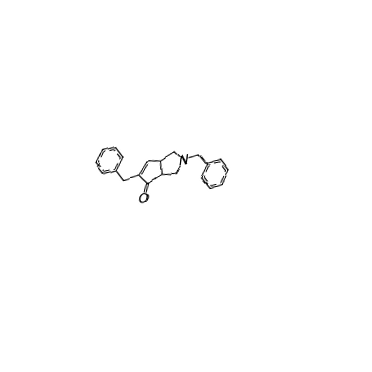 O=C1C(Cc2ccccc2)=CC2CN(Cc3ccccc3)CC12